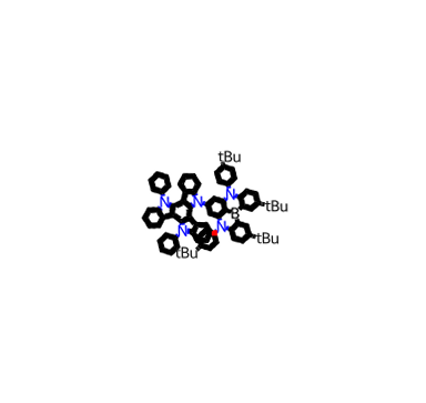 CC(C)(C)c1ccc(N2c3ccc(C(C)(C)C)cc3B3c4cc(C(C)(C)C)ccc4N(c4ccc(C(C)(C)C)cc4)c4cc(-n5c6ccccc6c6c7c(c8ccccc8n7-c7ccccc7)c7c(c8ccccc8n7-c7ccccc7)c65)cc2c43)cc1